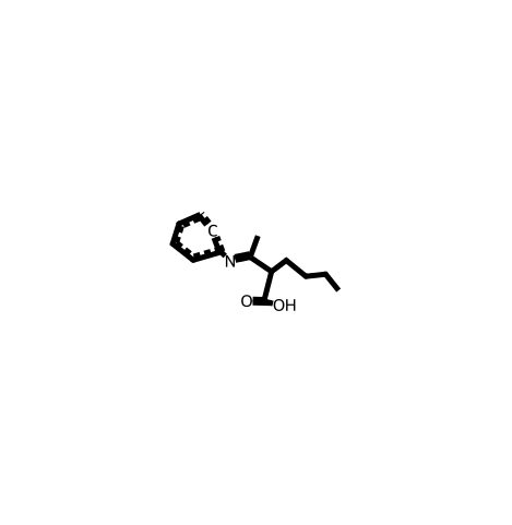 CCCCC(C(=O)O)C(C)=Nc1ccccc1